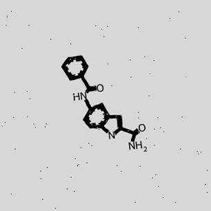 NC(=O)C1=Cc2cc(NC(=O)c3ccccc3)ccc2[N]1